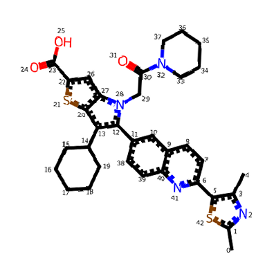 Cc1nc(C)c(-c2ccc3cc(-c4c(C5CCCCC5)c5sc(C(=O)O)cc5n4CC(=O)N4CCCCC4)ccc3n2)s1